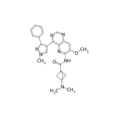 COc1cc2ncnc(-c3cn(C)nc3-c3ccccc3)c2nc1NC(=O)C12CC(N(C)C)(C1)C2